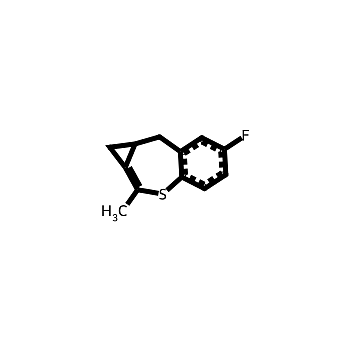 CC1=C2CC2Cc2cc(F)ccc2S1